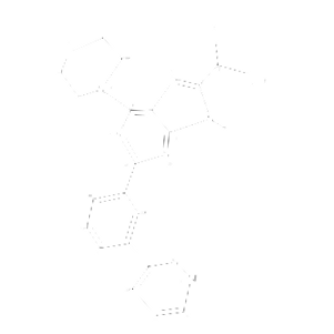 CCn1c(C(C)O)nc2c(N3CCOCC3)nc(-c3cccc(C4=CC=CNN4)c3)nc21